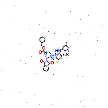 Cc1cncc(Nc2nc(N[C@@H]3CCN(C(=O)OCc4ccccc4)C[C@@H]3N3C(=O)c4ccccc4C3=O)c(F)cc2C#N)c1